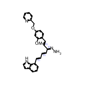 COc1cc(OCc2ccccn2)ccc1/C=C/C(/C=C/C=C/c1cccc2cc[nH]c12)=N/N